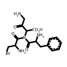 CC(C)CC(N)C(=O)N(C(=O)C(N)Cc1ccccc1)C(C(=O)O)C(=O)CN